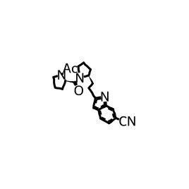 CC(=O)N1CCC[C@@H]1C(=O)N1CCC[C@H]1CCc1cc2ccc(C#N)cc2n1C